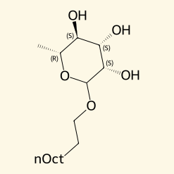 CCCCCCCCCCOC1O[C@H](C)[C@@H](O)[C@H](O)[C@@H]1O